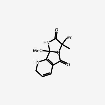 COC12NC(=O)C(C)(C(C)C)N1C(=O)C1=C2NCC=C1